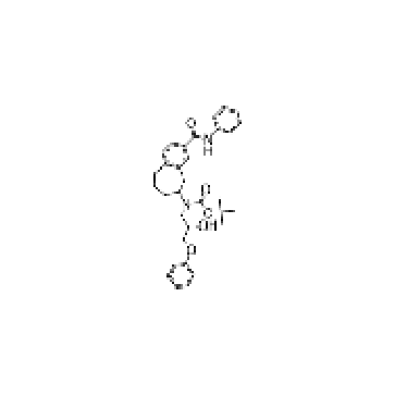 CC(C)(C)OC(=O)N(C[C@H](O)COc1ccccc1)C1CCCc2ccc(C(=O)Nc3ccccc3)cc2C1